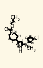 C=CCOC(=O)N1CCCC(c2cc(N(C)c3ccc(Cl)s3)[nH]n2)CC1